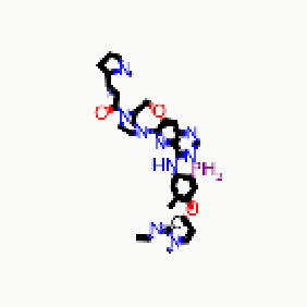 C=C/N=c1/cc(Oc2cc(P)c(Nc3ncnc4cc5c(nc34)N3CCN(C(=O)/C=C/C4CCCN4C)C(CO5)C3)cc2C)ccn1C